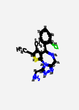 Cc1sc2c(c1C)C(c1ccccc1Cl)=NCc1nnc(CN)n1-2